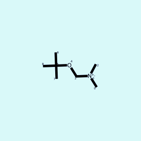 C[N+](C)COC(C)(C)C